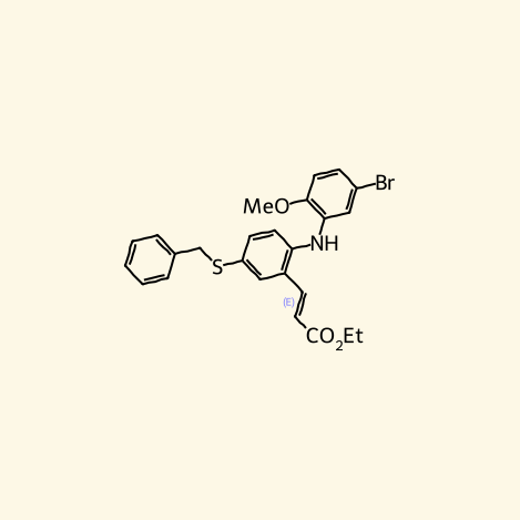 CCOC(=O)/C=C/c1cc(SCc2ccccc2)ccc1Nc1cc(Br)ccc1OC